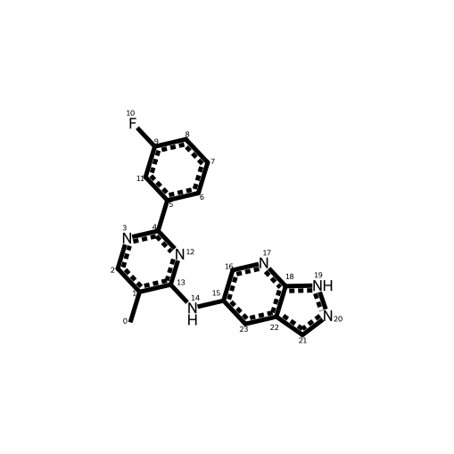 Cc1cnc(-c2cccc(F)c2)nc1Nc1cnc2[nH]ncc2c1